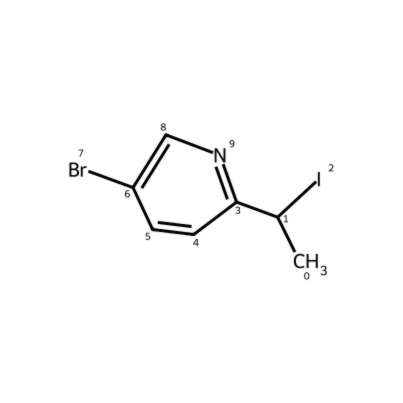 CC(I)c1ccc(Br)cn1